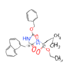 CCOC(=O)[C@H](CC(C)C)NC(=O)[C@H](Cc1cccc2ccccc12)NC(=O)OCc1ccccc1